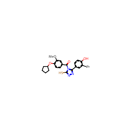 COc1cc(C(=O)n2c(S)nnc2-c2ccc(O)c(C(C)C)c2)ccc1OC1CCCC1